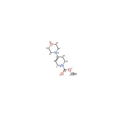 CC(C)(C)OC(=O)N1CC=C(N2CCOCC2)CC1